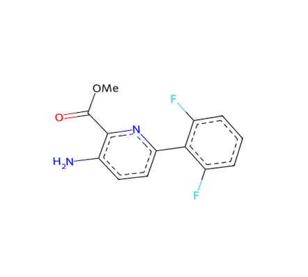 COC(=O)c1nc(-c2c(F)cccc2F)ccc1N